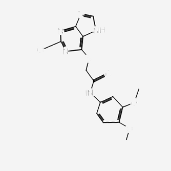 COc1ccc(NC(=O)CSc2nc(Cl)nc3nc[nH]c23)cc1OC